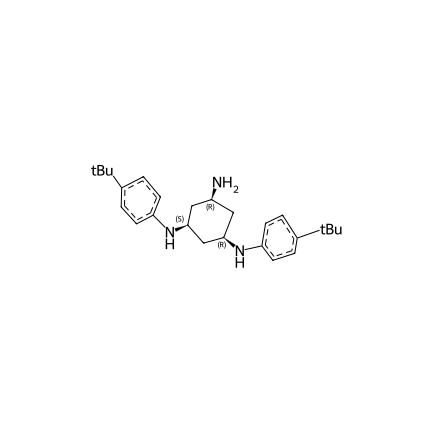 CC(C)(C)c1ccc(N[C@@H]2C[C@H](N)C[C@H](Nc3ccc(C(C)(C)C)cc3)C2)cc1